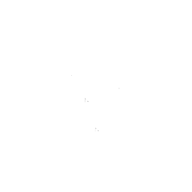 O=C(O)c1cccnc1N1CCC2(CCC2)C1